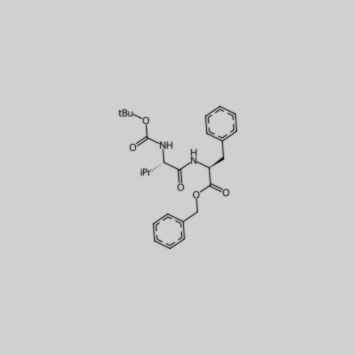 CC(C)[C@H](NC(=O)OC(C)(C)C)C(=O)N[C@@H](Cc1ccccc1)C(=O)OCc1ccccc1